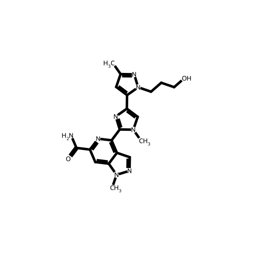 Cc1cc(-c2cn(C)c(-c3nc(C(N)=O)cc4c3cnn4C)n2)n(CCCO)n1